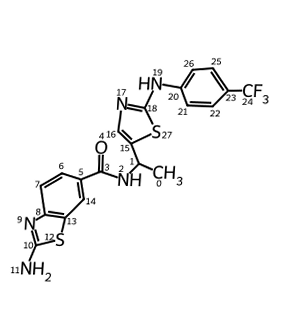 CC(NC(=O)c1ccc2nc(N)sc2c1)c1cnc(Nc2ccc(C(F)(F)F)cc2)s1